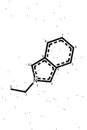 CCn1cc2ccccc2c1